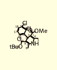 COC(=O)C1=C(C)NC(C)=C(C(=O)OC(C)(C)C)C1c1cccc(Cl)c1Cl